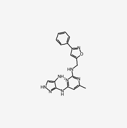 Cc1cc(Nc2n[nH]cc2N)nc(NCc2cc(-c3ccccc3)no2)n1